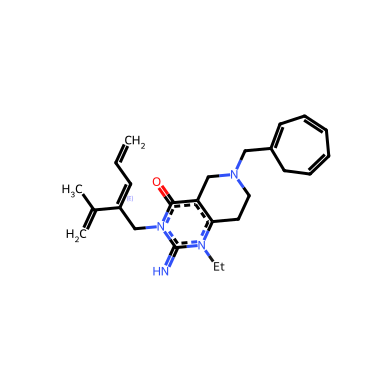 C=C/C=C(/Cn1c(=O)c2c(n(CC)c1=N)CCN(CC1=CC=CC=CC1)C2)C(=C)C